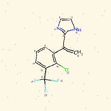 C=C(c1ncc[nH]1)c1cccc(C(F)(F)F)c1Cl